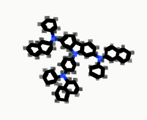 c1ccc(N(c2ccc3ccccc3c2)c2ccc3c4ccc(N(c5ccccc5)c5ccc6ccccc6c5)cc4n(-c4ccc(N(c5ccccc5)c5cccc6ccccc56)cc4)c3c2)cc1